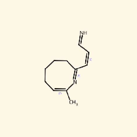 CC1=C/CCCCC(/C=C\C=N)=N\1